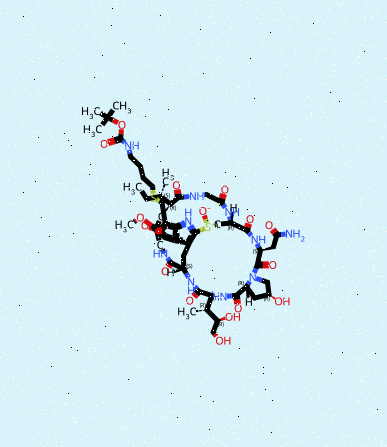 CC[C@H](C)[C@H]1CC(=O)CNC(=O)[C@@H]2Cc3c([nH]c4c(CSCCCCNC(=O)OC(C)(C)C)c(OC)ccc34)[S+]([O-])C[C@H](NC(=O)CNC1=O)C(=O)N[C@@H](CC(N)=O)C(=O)N1C[C@H](O)C[C@@H]1C(=O)N[C@@H]([C@@H](C)[C@@H](O)CO)C(=O)N2